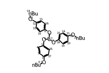 CCCCOc1ccc(OB(Oc2ccc(OCCCC)cc2)Oc2ccc(OCCCC)cc2)cc1